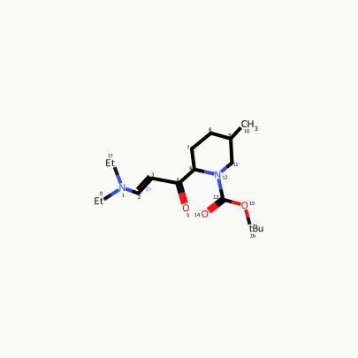 CCN(/C=C/C(=O)C1CCC(C)CN1C(=O)OC(C)(C)C)CC